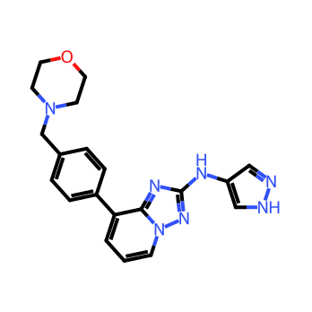 c1cc(-c2ccc(CN3CCOCC3)cc2)c2nc(Nc3cn[nH]c3)nn2c1